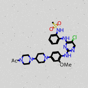 COc1cc(N2CCC(N3CCN(C(C)=O)CC3)CC2)ccc1Nc1ncc(Cl)c(Nc2ccccc2NS(C)(=O)=O)n1